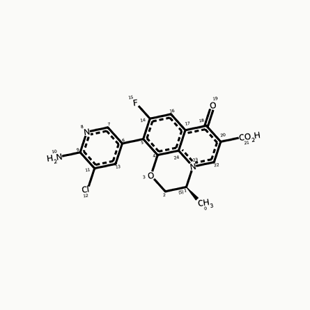 C[C@H]1COc2c(-c3cnc(N)c(Cl)c3)c(F)cc3c(=O)c(C(=O)O)cn1c23